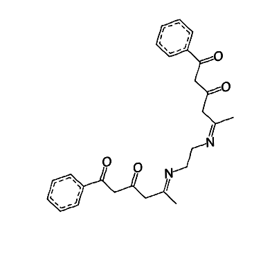 CC(CC(=O)CC(=O)c1ccccc1)=NCCN=C(C)CC(=O)CC(=O)c1ccccc1